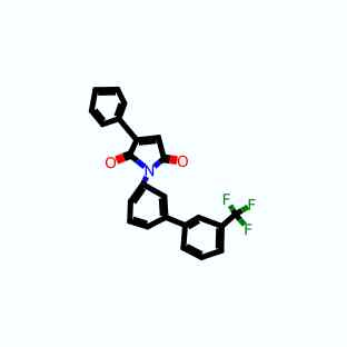 O=C1C=C(c2ccccc2)C(=O)N1c1cccc(-c2cccc(C(F)(F)F)c2)c1